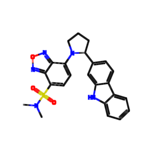 CN(C)S(=O)(=O)c1ccc(N2CCCC2c2ccc3c(c2)[nH]c2ccccc23)c2nonc12